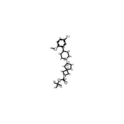 COc1ccc(F)cc1C1CCN([C@@H]2CCC3(C2)CN(C(=O)OC(C)(C)C)C3)CC1